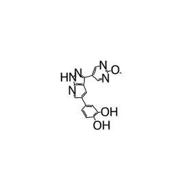 COc1ncc(-c2n[nH]c3ncc(-c4ccc(O)c(O)c4)cc23)cn1